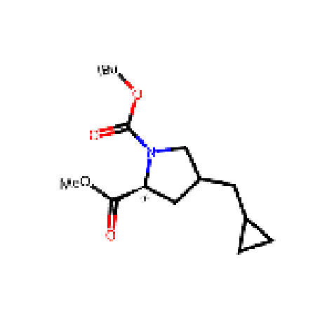 COC(=O)[C@@H]1CC(CC2CC2)CN1C(=O)OC(C)(C)C